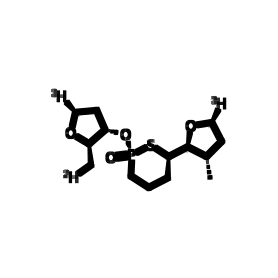 [2H]C[C@H]1O[C@@H]([3H])C[C@@H]1O[P@@]1(=O)CCC[C@H]([C@H]2O[C@@H]([3H])C[C@@H]2C)S1